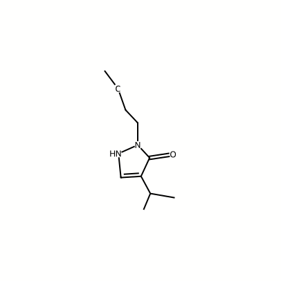 CCCCn1[nH]cc(C(C)C)c1=O